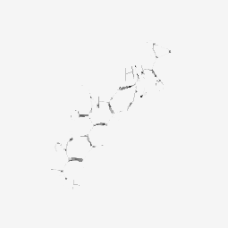 Cc1cc(C(C)O)ncc1-c1cc2cnc(NC(=O)C3CC3)cc2n(C)c1=O